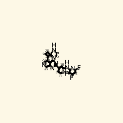 Fc1cc(F)c(F)c(Nc2cc(-c3nc(N4CCNCC4)c4c(C5=CC=C5)cncc4n3)ccn2)n1